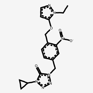 CCn1nccc1OCc1ccc(Cn2nnn(C3CC3)c2=O)cc1[N+](=O)[O-]